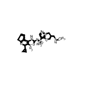 CNCC1COc2c(S(N)(=O)=NC(=O)Nc3c(C)c(C4CC4)nc4c3CCC4)cnn2C1